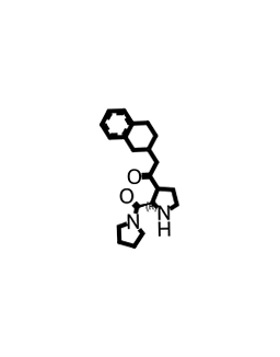 O=C(CC1CCc2ccccc2C1)C1CCN[C@H]1C(=O)N1CCCC1